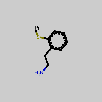 CC(C)Sc1ccccc1CCN